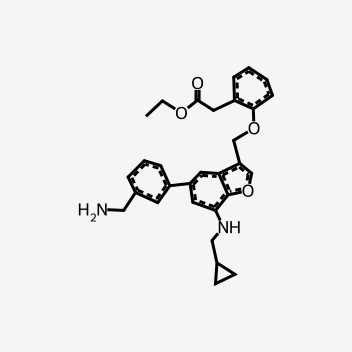 CCOC(=O)Cc1ccccc1OCc1coc2c(NCC3CC3)cc(-c3cccc(CN)c3)cc12